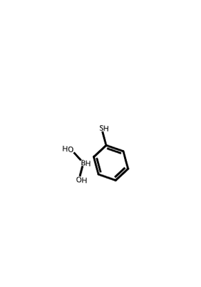 OBO.Sc1ccccc1